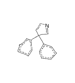 C1=CC(c2ccccc2)(c2ccccc2)C=N1